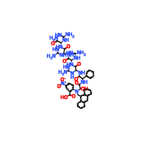 N=C(N)NC(NC(=O)C(NC(=N)N)NC(=O)C(NC(=N)N)NC(=O)C(NC(=N)N)NC(=O)C(NC(=O)C(O)N(Cc1c2ccccc2cc2ccccc12)c1ccc([N+](=O)[O-])cc1C(=O)O)c1ccccc1)C(N)=O